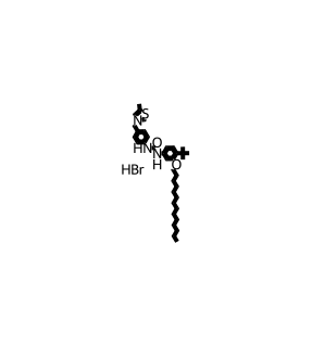 Br.CCCCCCCCCCCCCCOc1cc(NC(=O)Nc2ccc(CN3C=C(C)SC3)cc2)ccc1C(C)(C)C